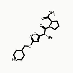 CC(C)[C@@H](C(=O)N1CCCC1C(N)=O)c1cc(OCC2CCNCC2)no1